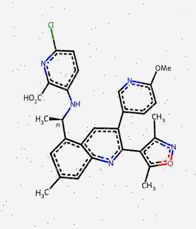 COc1ccc(-c2cc3c([C@@H](C)Nc4ccc(Cl)nc4C(=O)O)cc(C)cc3nc2-c2c(C)noc2C)cn1